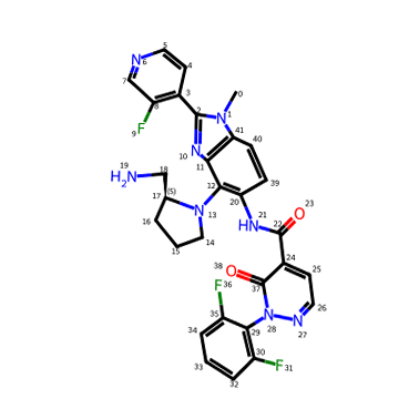 Cn1c(-c2ccncc2F)nc2c(N3CCC[C@H]3CN)c(NC(=O)c3ccnn(-c4c(F)cccc4F)c3=O)ccc21